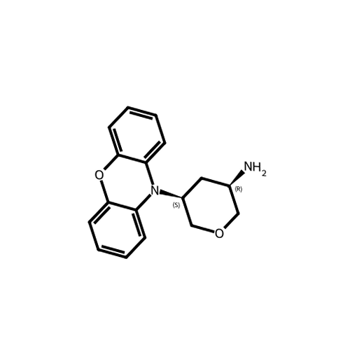 N[C@H]1COC[C@@H](N2c3ccccc3Oc3ccccc32)C1